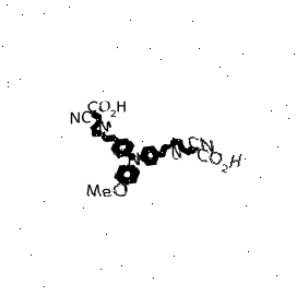 COc1ccc(N(c2ccc(/C=C/c3ccc(/C=C(\C#N)C(=O)O)n3C)cc2)c2ccc(/C=C/c3ccc(/C=C(\C#N)C(=O)O)n3C)cc2)cc1